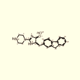 Cl.O=C1N=C(N2CCNCC2)NC1=Cc1ccc2c(c1)Cc1ccccc1-2